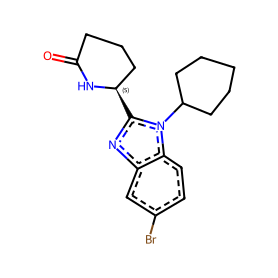 O=C1CCC[C@@H](c2nc3cc(Br)ccc3n2C2CCCCC2)N1